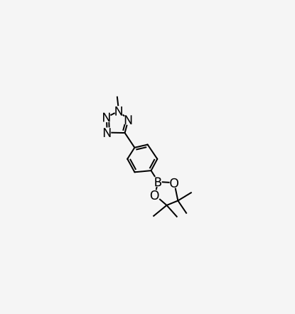 Cn1nnc(-c2ccc(B3OC(C)(C)C(C)(C)O3)cc2)n1